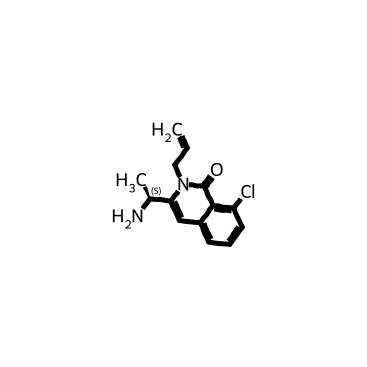 C=CCn1c([C@H](C)N)cc2cccc(Cl)c2c1=O